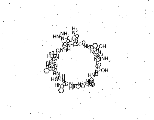 CCCC[C@H]1C(=O)N(C)[C@@H](CCCC)C(=O)N[C@@H](CCCNC(=N)N)C(=O)N[C@H](C(=O)NCC(N)=O)CSCC(=O)N[C@@H](Cc2ccc(O)cc2)C(=O)N(C)[C@@H](C)C(=O)N[C@@H](CC(N)=O)C(=O)N2C[C@H](O)C[C@H]2C(=O)N[C@@H](Cc2ccc[nH]2)C(=O)N[C@@H](CC(C)C)C(=O)N2CCC[C@H]2C(=O)N[C@@H](Cc2c[nH]c3ccccc23)C(=O)N[C@@H](CO)C(=O)N[C@@H](Cc2csc3ccccc23)C(=O)N1C